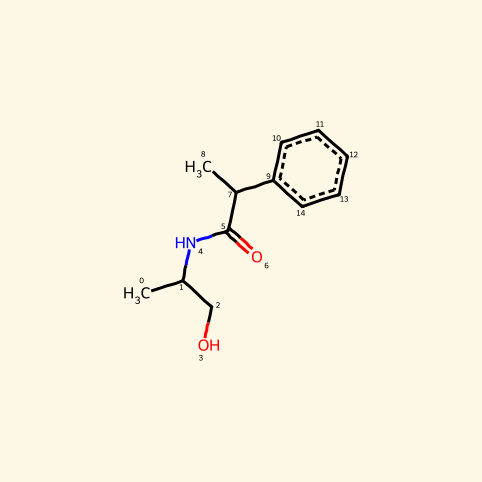 CC(CO)NC(=O)C(C)c1ccccc1